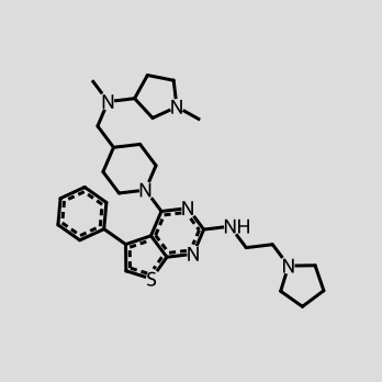 CN1CCC(N(C)CC2CCN(c3nc(NCCN4CCCC4)nc4scc(-c5ccccc5)c34)CC2)C1